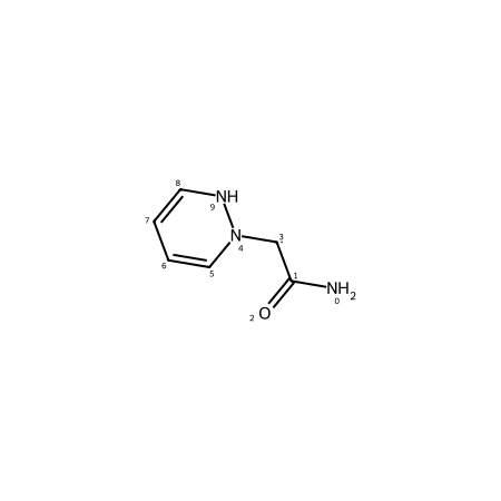 NC(=O)[CH]N1C=CC=CN1